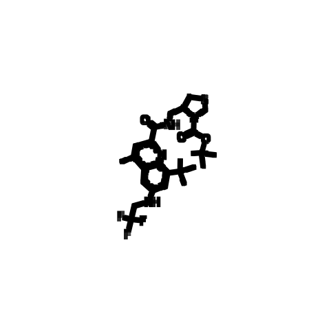 Cc1cc(C(=O)NCC2CSCN2C(=O)OC(C)(C)C)nc2c(C(C)(C)C)cc(NCC(F)(F)F)cc12